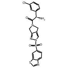 N[C@@H](C(=O)N1Cc2cn(S(=O)(=O)c3ccc4ncsc4c3)nc2C1)c1cccc(Cl)c1